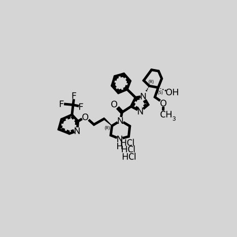 COC[C@]1(O)CCCC[C@H]1n1cnc(C(=O)N2CCNC[C@H]2CCOc2ncccc2C(F)(F)F)c1-c1ccccc1.Cl.Cl.Cl